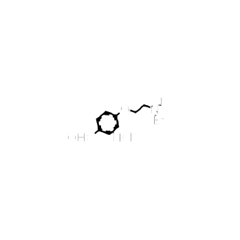 CCN(CC)CCOc1ccc(C=O)cc1.Cl